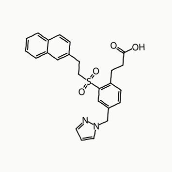 O=C(O)CCc1ccc(Cn2cccn2)cc1S(=O)(=O)CCc1ccc2ccccc2c1